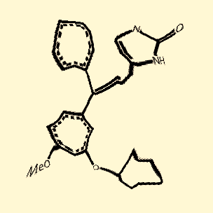 COc1ccc(C(=CC2=C[N]C(=O)N2)c2ccccc2)cc1OC1CCCC1